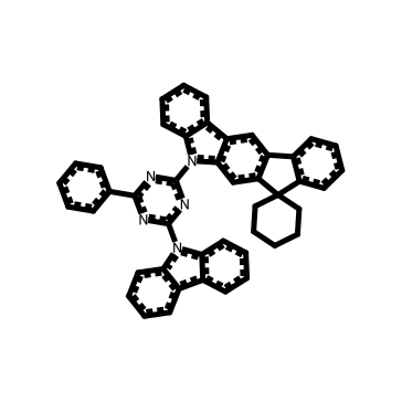 c1ccc(-c2nc(-n3c4ccccc4c4ccccc43)nc(-n3c4ccccc4c4cc5c(cc43)C3(CCCCC3)c3ccccc3-5)n2)cc1